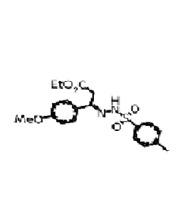 CCOC(=O)C/C(=N\NS(=O)(=O)c1ccc(C)cc1)c1ccc(OC)cc1